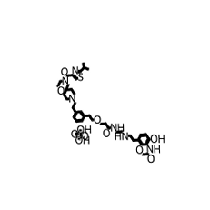 CC(C)c1nc(C(=O)N2CCOC3(CCN(CCc4cccc(CCOCCC(=O)NCCNCCc5ccc(O)c6c5OCC(=O)N6)c4)CC3)C2)cs1.O=S(=O)(O)O